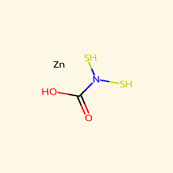 O=C(O)N(S)S.[Zn]